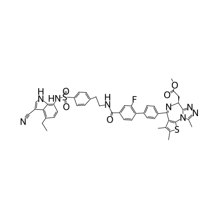 CCc1ccc(NS(=O)(=O)c2ccc(CCNC(=O)c3ccc(-c4ccc(C5=N[C@@H](CC(=O)OC)c6nnc(C)n6-c6sc(C)c(C)c65)cc4)c(F)c3)cc2)c2[nH]cc(C#N)c12